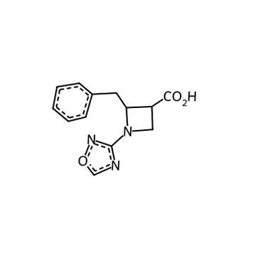 O=C(O)C1CN(c2ncon2)C1Cc1ccccc1